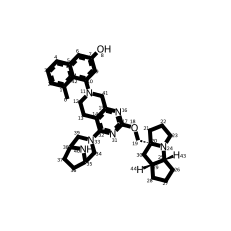 Cc1cccc2cc(O)cc(N3CCc4c(nc(OC[C@]56CCCN5[C@@H]5CCC[C@@H]5C6)nc4N4CC5CCC(C4)N5)C3)c12